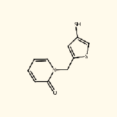 O=c1ccccn1Cc1cc(S)cs1